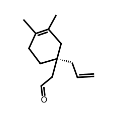 C=CC[C@]1(CC=O)CCC(C)=C(C)C1